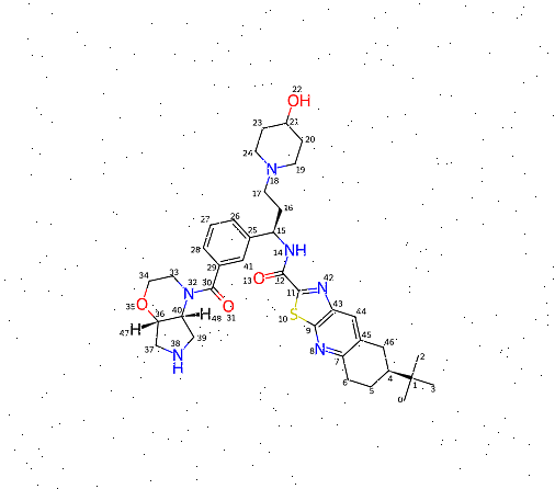 CC(C)(C)[C@H]1CCc2nc3sc(C(=O)N[C@H](CCN4CCC(O)CC4)c4cccc(C(=O)N5CCO[C@H]6CNC[C@H]65)c4)nc3cc2C1